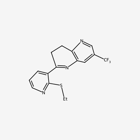 CCSc1ncccc1C1=Nc2cc(C(F)(F)F)cnc2CC1